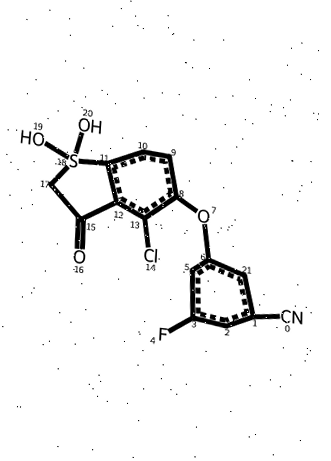 N#Cc1cc(F)cc(Oc2ccc3c(c2Cl)C(=O)CS3(O)O)c1